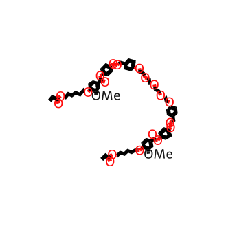 C=CC(=O)OCCCCCCOc1ccc(C(=O)Oc2ccc(OOCc3ccc(OCCOCCOCCOCCOc4ccc(COOc5ccc(OC(=O)c6ccc(OCCCCCCOC(=O)C=C)c(OC)c6)cc5)cc4)cc3)cc2)cc1OC